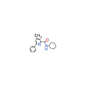 Cc1cc(C(=O)NC2CCCCC2)nc(-c2ccccc2)c1